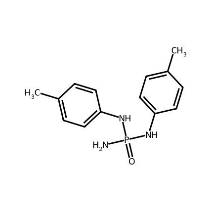 Cc1ccc(NP(N)(=O)Nc2ccc(C)cc2)cc1